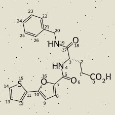 O=C(O)CC[C@H](NC(=O)c1ccc(-c2cccs2)o1)C(=O)NCc1ccccc1